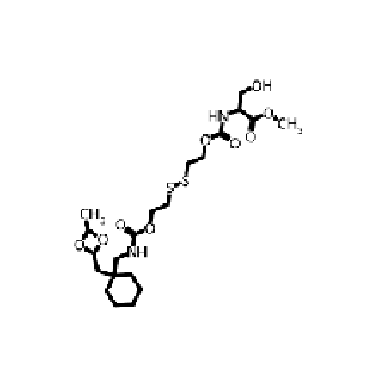 COC(=O)C(CO)NC(=O)OCCSSCCOC(=O)NCC1(CC2OC(C)O2)CCCCC1